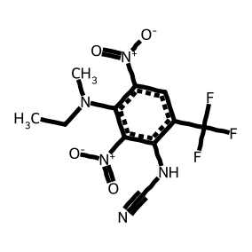 CCN(C)c1c([N+](=O)[O-])cc(C(F)(F)F)c(NC#N)c1[N+](=O)[O-]